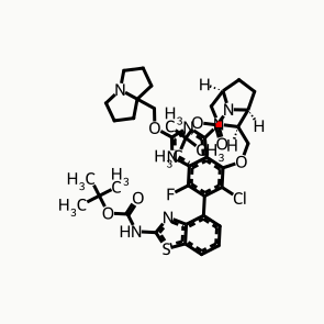 CC(C)(C)OC(=O)Nc1nc2c(-c3c(Cl)c4c5c(nc(OCC67CCCN6CCC7)nc5c3F)N3C[C@H]5CC[C@@H]([C@H]3CO4)N5C(=O)OC(C)(C)C)cccc2s1